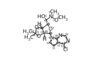 CON(C)C(O)[C@H]1O[C@@H](n2ccc3c(Cl)ncnc32)[C@@H]2OC(C)(C)O[C@@H]21